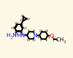 CCOC1CCC(N2CCC(Nc3cc(C4CC4)ccc3N)CC2)CC1